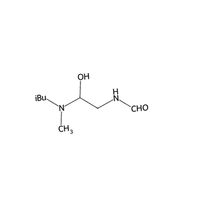 CCC(C)N(C)C(O)CNC=O